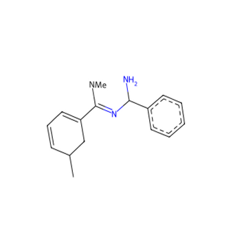 CN/C(=N\C(N)c1ccccc1)C1=CC=CC(C)C1